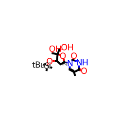 Cc1cn([C@H]2CC(O[Si](C)(C)C(C)(C)C)C(CO)(CO)O2)c(=O)[nH]c1=O